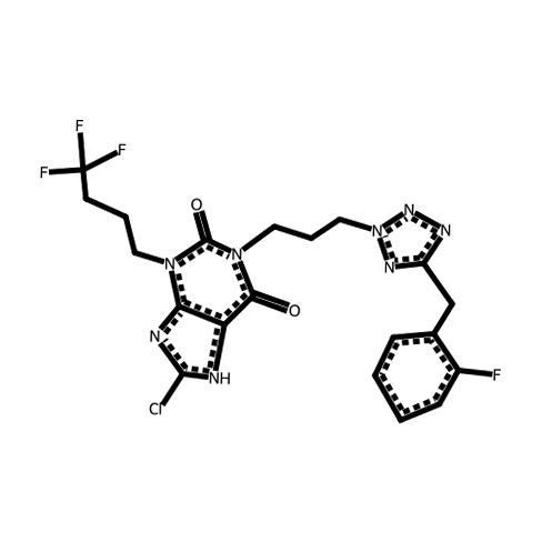 O=c1c2[nH]c(Cl)nc2n(CCCC(F)(F)F)c(=O)n1CCCn1nnc(Cc2ccccc2F)n1